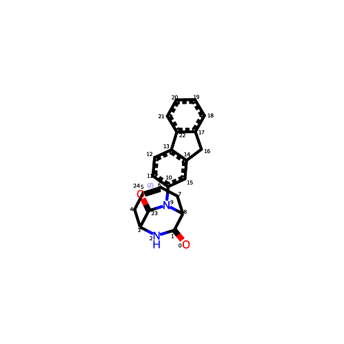 O=C1NC2C/C=C\CC1N(c1ccc3c(c1)Cc1ccccc1-3)C2=O